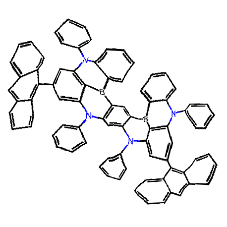 c1ccc(N2c3ccccc3B3c4cc5c(cc4N(c4ccccc4)c4cc(-c6c7ccccc7cc7ccccc67)cc2c43)N(c2ccccc2)c2cc(-c3c4ccccc4cc4ccccc34)cc3c2B5c2ccccc2N3c2ccccc2)cc1